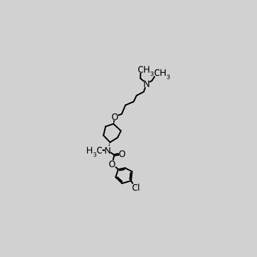 CCN(CC)CCCCCO[C@H]1CC[C@H](N(C)C(=O)Oc2ccc(Cl)cc2)CC1